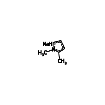 Cc1cccn1C.[NaH]